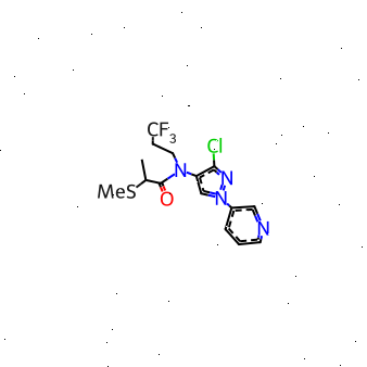 CSC(C)C(=O)N(CCC(F)(F)F)c1cn(-c2cccnc2)nc1Cl